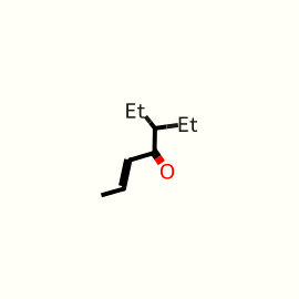 CC=CC(=O)C(CC)CC